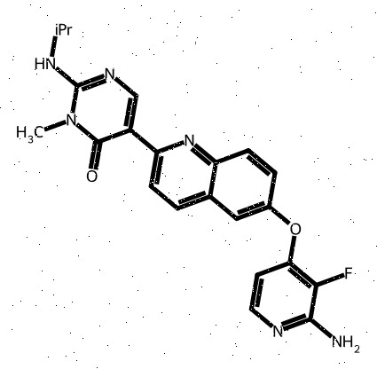 CC(C)Nc1ncc(-c2ccc3cc(Oc4ccnc(N)c4F)ccc3n2)c(=O)n1C